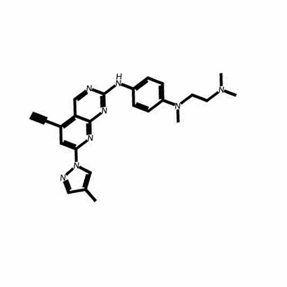 C#Cc1cc(-n2cc(C)cn2)nc2nc(Nc3ccc(N(C)CCN(C)C)cc3)ncc12